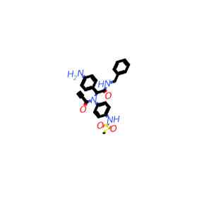 C#CC(=O)N(c1ccc(NS(C)(=O)=O)cc1)C(C(=O)NCc1ccccc1)c1ccc(N)cc1